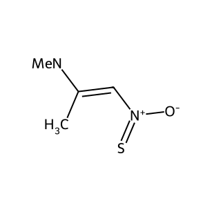 CNC(C)=C[N+]([O-])=S